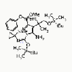 CCCCCC(C)(CO[Si](C)(C)C(C)(C)C)c1c(C(OC)Oc2ccccc2)nn(/C(=N\C2(SC)CC2)O[Si](C)(C)C(C)(C)C)c1N